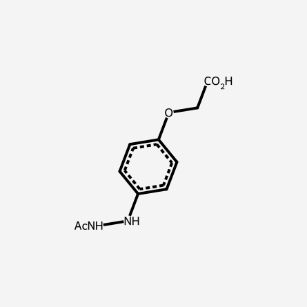 CC(=O)NNc1ccc(OCC(=O)O)cc1